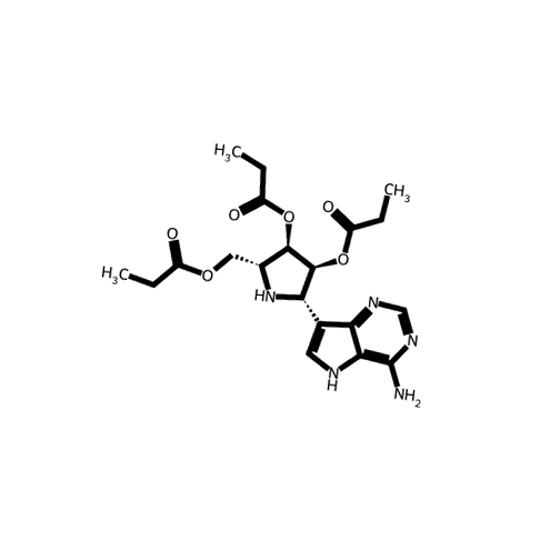 CCC(=O)OC[C@H]1N[C@@H](c2c[nH]c3c(N)ncnc23)[C@H](OC(=O)CC)[C@@H]1OC(=O)CC